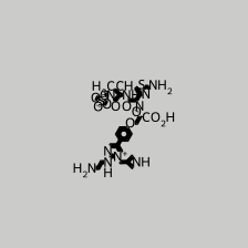 CC1(C)C(NC(=O)/C(=N\O[C@@H](COc2ccc(-c3cnc(NCCN)[n+](CC4CNC4)c3)cc2)C(=O)O)c2csc(N)n2)C(=O)N1OS(=O)(=O)[O-]